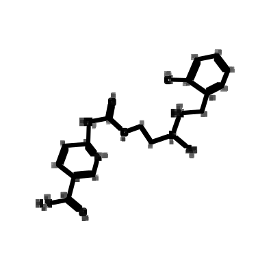 CC(=O)N(CCOC(=O)Nc1ccc(C(N)=O)cn1)NCc1ccccc1Cl